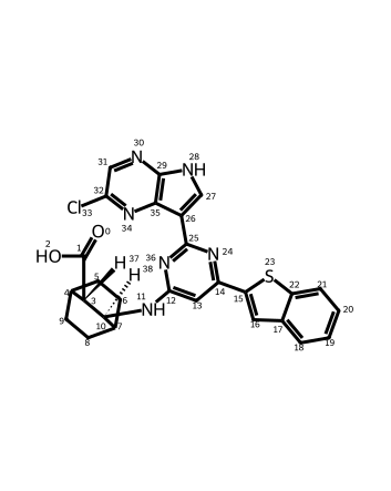 O=C(O)[C@H]1C2CCC(CC2)[C@@H]1Nc1cc(-c2cc3ccccc3s2)nc(-c2c[nH]c3ncc(Cl)nc23)n1